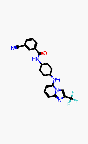 N#Cc1cccc(C(=O)NC2CCC(Nc3cccc4nc(C(F)(F)F)cn34)CC2)c1